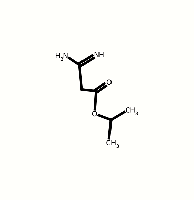 CC(C)OC(=O)CC(=N)N